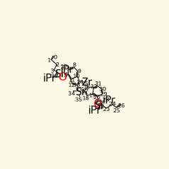 C=CCC[Si](Oc1cccc2c1C=C1[CH]2[Zr][CH]2C(=Cc3c(O[Si](CCC=C)(C(C)C)C(C)C)cccc32)[Si]1(C)C)(C(C)C)C(C)C